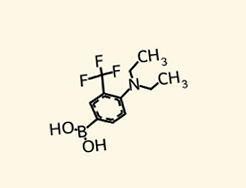 CCN(CC)c1ccc(B(O)O)cc1C(F)(F)F